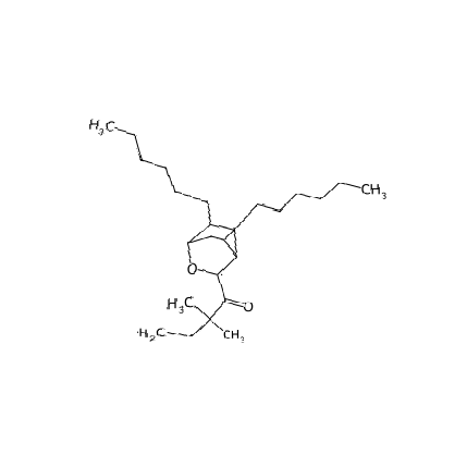 [CH2]CC(C)(C)C(=O)[C]1OC2CC(CCCCCC)C1CC2CCCCCC